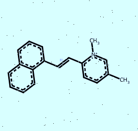 Cc1ccc(/C=C/c2cccc3ccccc23)[n+](C)c1